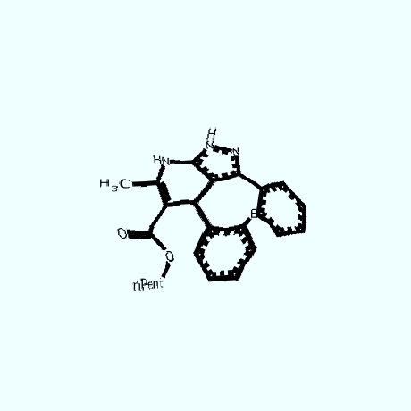 CCCCCOC(=O)C1=C(C)Nc2[nH]nc(-c3ccccc3)c2C1c1ccccc1CC